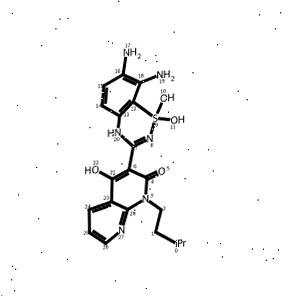 CC(C)CCn1c(=O)c(C2=NS(O)(O)c3c(ccc(N)c3N)N2)c(O)c2cccnc21